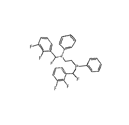 Fc1cccc(C(F)P(CCP(c2ccccc2)C(F)c2cccc(F)c2F)c2ccccc2)c1F